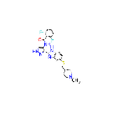 CN1CCC(CSc2ccc3[nH]c(-c4n[nH]cc4NC(=O)c4c(F)cccc4F)nc3c2)CC1